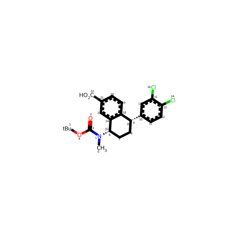 CN(C(=O)OC(C)(C)C)[C@H]1CC[C@@H](c2ccc(Cl)c(Cl)c2)c2ccc(C(=O)O)cc21